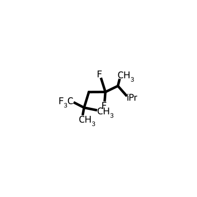 CC(C)C(C)C(F)(F)CC(C)(C)C(F)(F)F